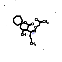 C=C(Cl)CO/N=C(/CCC)C1=C(O)CC2(CCCCCC2)OC1=O